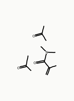 C=C(C)C(=O)N(C)C.CC(C)=O.CC(C)=O